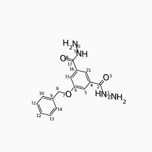 NNC(=O)c1cc(OCc2ccccc2)cc(C(=O)NN)c1